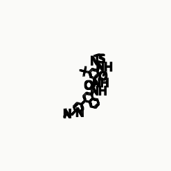 COc1c(NC(=O)Nc2ccc(-c3ccc(CN(C)C)nc3)c3ccccc23)cc(C(C)(C)C)cc1NC1=NCCS1